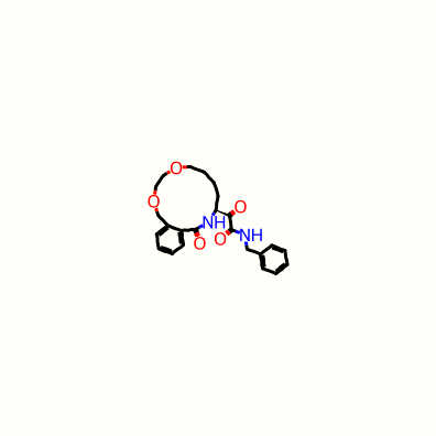 O=C(NCc1ccccc1)C(=O)[C@@H]1CCCCOCCOCc2ccccc2C(=O)N1